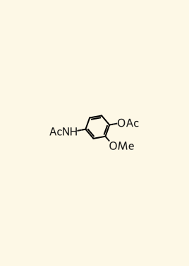 COc1cc(NC(C)=O)ccc1OC(C)=O